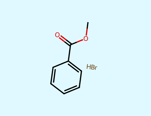 Br.COC(=O)c1ccccc1